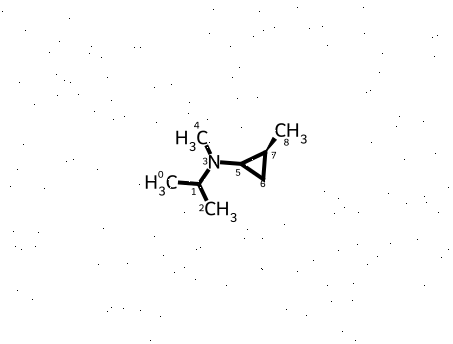 CC(C)N(C)C1C[C@@H]1C